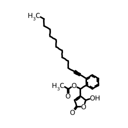 CCCCCCCCCCCC#Cc1ccccc1C(OC(C)=O)C1=CC(=O)OC1O